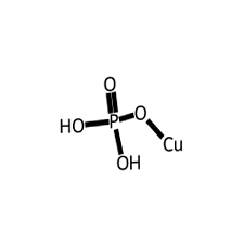 O=P(O)(O)[O][Cu]